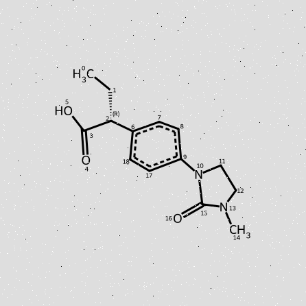 CC[C@@H](C(=O)O)c1ccc(N2CCN(C)C2=O)cc1